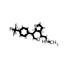 CNCC1OCC(c2ccc(C(F)(F)F)cc2)c2sccc21